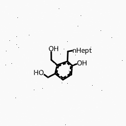 CCCCCCCCc1c(O)ccc(CO)c1CO